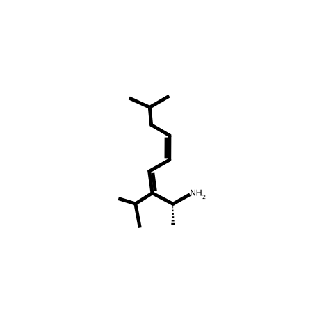 CC(C)C/C=C\C=C(\C(C)C)[C@@H](C)N